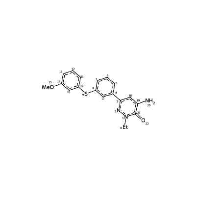 CCn1nc(-c2cccc(Sc3cccc(OC)c3)c2)cc(N)c1=O